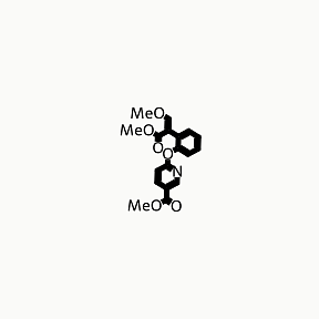 COC=C(C(=O)OC)c1ccccc1Oc1ccc(C(=O)OC)cn1